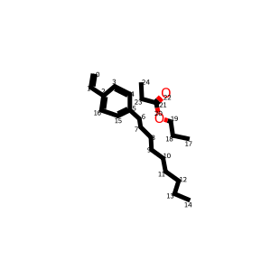 C=Cc1ccc(CCCCCCCCC)cc1.CCCOC(=O)CC